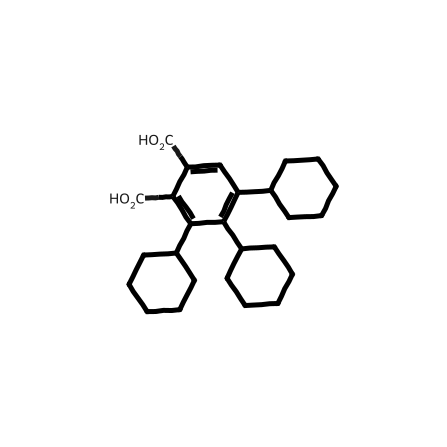 O=C(O)c1cc(C2CCCCC2)c(C2CCCCC2)c(C2CCCCC2)c1C(=O)O